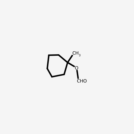 CC1(OC=O)CCCCC1